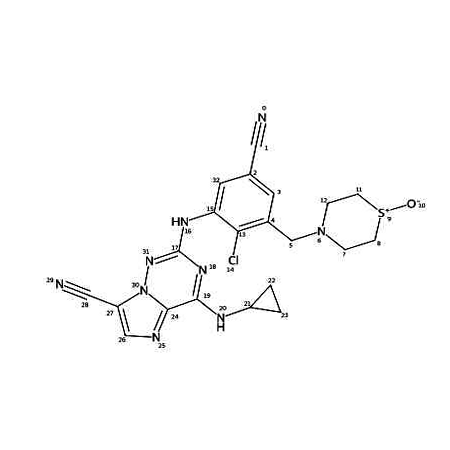 N#Cc1cc(CN2CC[S+]([O-])CC2)c(Cl)c(Nc2nc(NC3CC3)c3ncc(C#N)n3n2)c1